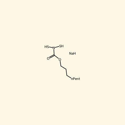 CCCCCCCCOC(=O)N(S)S.[NaH]